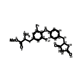 COC(=O)C(N)Cc1cc(F)c(Oc2ccc(CC3SC(=O)NC3=O)cc2)c(F)c1